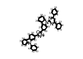 c1ccc(-c2cc(-c3ccccc3)nc(-n3c4ccccc4c4cc(-c5nnc(-c6ccc7c8ccccc8n(-c8ccccc8)c7c6)o5)ccc43)n2)cc1